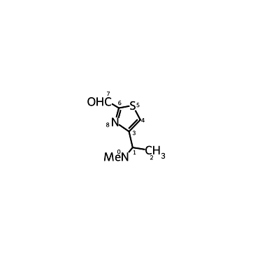 CNC(C)c1csc(C=O)n1